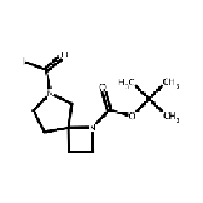 CC(C)(C)OC(=O)N1CCC12CCN(C(=O)I)C2